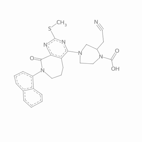 CSc1nc2c(c(N3CCN(C(=O)O)C(CC#N)C3)n1)CCCN(c1cccc3ccccc13)C2=O